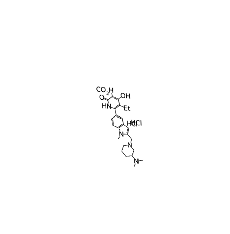 CCc1c(-c2ccc3c(c2)cc(CN2CCCC(N(C)C)C2)n3C)[nH]c(=O)c(C(=O)O)c1O.Cl.Cl